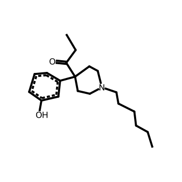 CCCCCCN1CCC(C(=O)CC)(c2cccc(O)c2)CC1